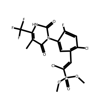 COP(=O)(OC)C(Cl)=Cc1cc(-n2c(=O)[nH]c(C(F)(F)F)c(C)c2=O)c(F)cc1Cl